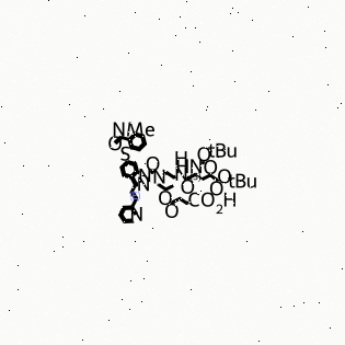 CNC(=O)c1ccccc1Sc1ccc2c(/C=C/c3ccccn3)nn(C(=O)N(CCNC(=O)[C@H](CCC(=O)OC(C)(C)C)NC(=O)OC(C)(C)C)CC(C)OC(=O)CCC(=O)O)c2c1